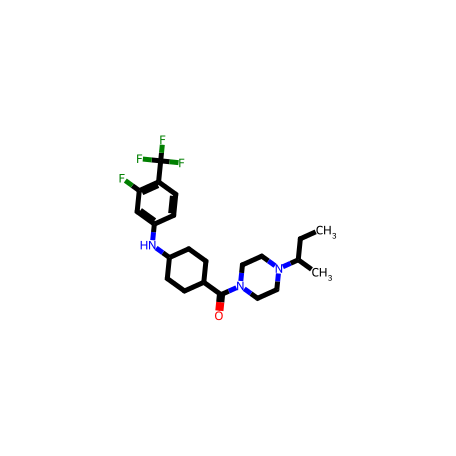 CCC(C)N1CCN(C(=O)C2CCC(Nc3ccc(C(F)(F)F)c(F)c3)CC2)CC1